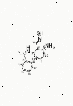 C[C@H](Nc1ncnc(N)c1/C=N/O)c1ccccc1